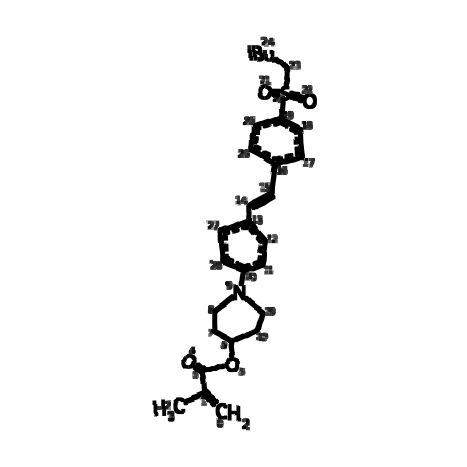 C=C(C)C(=O)OC1CCN(c2ccc(/C=C/c3ccc(S(=O)(=O)CC(C)CC)cc3)cc2)CC1